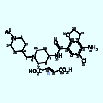 CC(=O)N1CCC(CN2CCC(NC(=O)c3cc(Cl)c(N)c4c3OCC4)CC2)CC1.O=C(O)/C=C/C(=O)O